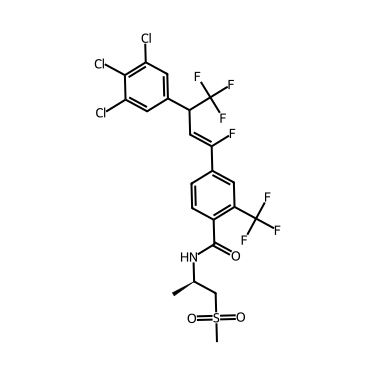 C[C@H](CS(C)(=O)=O)NC(=O)c1ccc(/C(F)=C/C(c2cc(Cl)c(Cl)c(Cl)c2)C(F)(F)F)cc1C(F)(F)F